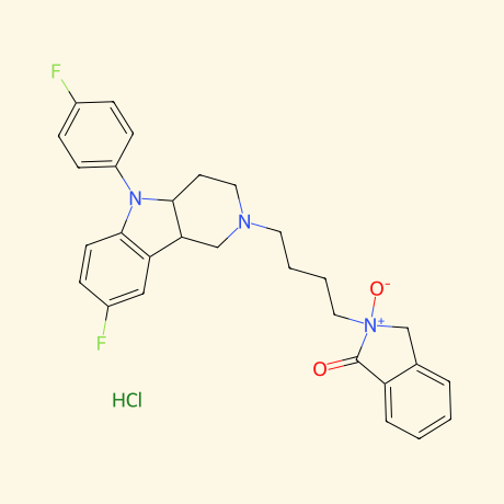 Cl.O=C1c2ccccc2C[N+]1([O-])CCCCN1CCC2C(C1)c1cc(F)ccc1N2c1ccc(F)cc1